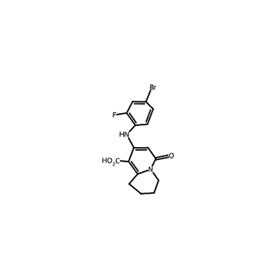 O=C(O)c1c(Nc2ccc(Br)cc2F)cc(=O)n2c1CCCC2